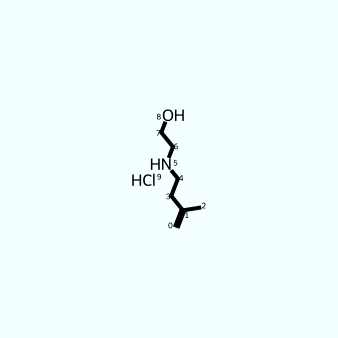 C=C(C)CCNCCO.Cl